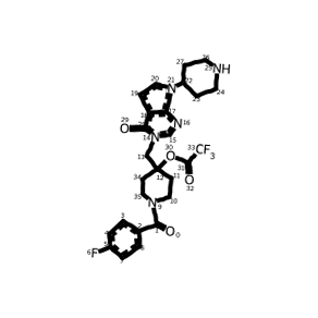 O=C(c1ccc(F)cc1)N1CCC(Cn2cnc3c(ccn3C3CCNCC3)c2=O)(OC(=O)C(F)(F)F)CC1